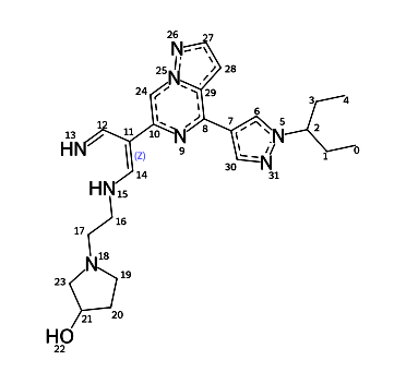 CCC(CC)n1cc(-c2nc(/C(C=N)=C/NCCN3CCC(O)C3)cn3nccc23)cn1